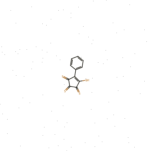 S=c1c(S)c(-c2ccccc2)c(=S)c1=S